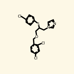 Clc1ccc(SC(COCc2ccc(Cl)cc2Cl)Cn2ccnc2)cc1